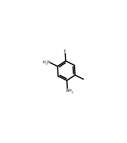 Bc1cc(N)c(F)cc1C